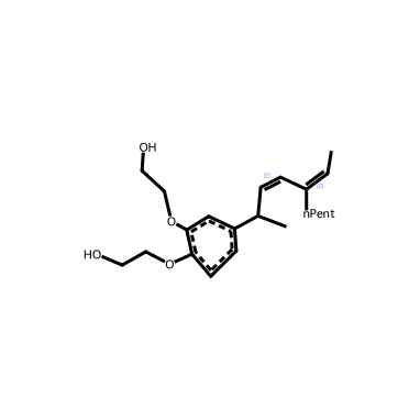 C/C=C(\C=C/C(C)c1ccc(OCCO)c(OCCO)c1)CCCCC